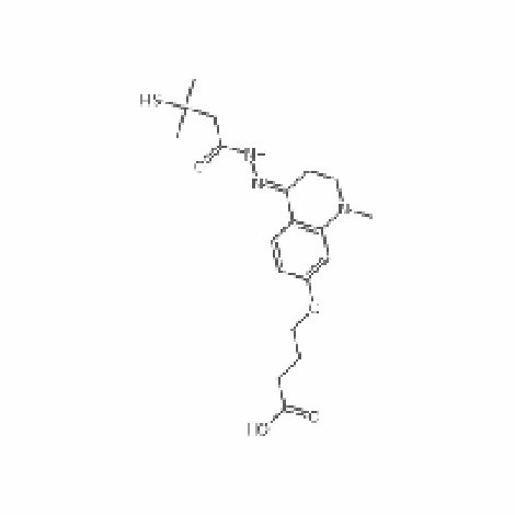 CN1CCC(=NNC(=O)CC(C)(C)S)c2ccc(OCCCC(=O)O)cc21